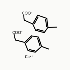 Cc1ccc(CC(=O)[O-])cc1.Cc1ccc(CC(=O)[O-])cc1.[Ca+2]